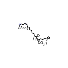 CCCCC/C=C\C/C=C\CCCCCCCC(=O)N[C@@H](CCC[S+]=O)C(=O)O